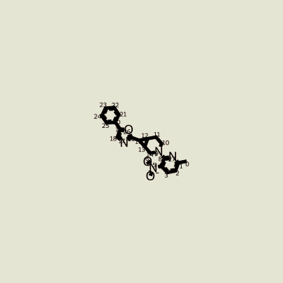 Cc1ccc([N+](=O)[O-])c(N2CCC3C(C2)C3c2ncc(-c3ccccc3)o2)n1